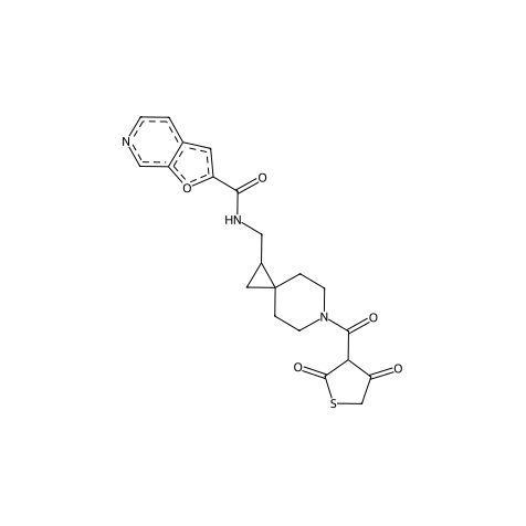 O=C(NCC1CC12CCN(C(=O)C1C(=O)CSC1=O)CC2)c1cc2ccncc2o1